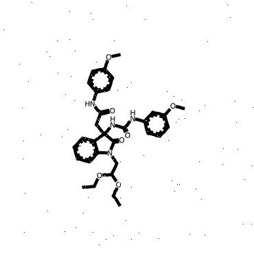 CCOC(CN1C(=O)C(CC(=O)Nc2ccc(OC)cc2)(NC(=O)Nc2cccc(OC)c2)c2ccccc21)OCC